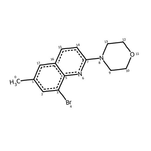 Cc1cc(Br)c2nc(N3CCOCC3)ccc2c1